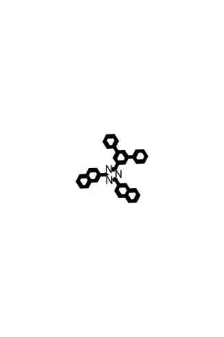 C1=CC(c2cc(-c3ccccc3)cc(-c3nc(-c4ccc5ccccc5c4)nc(-c4ccc5ccccc5c4)n3)c2)=CCC1